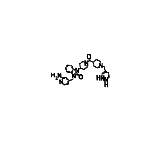 Nc1cc(Cn2c(=O)n(C3CCN(C(=O)C4CCN(CC5=CNNC=C5)CC4)CC3)c3ccccc32)ccn1